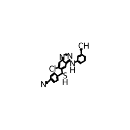 C#Cc1cccc(Nc2ncnc3cc(Cl)c(C(S)c4ccc(C#N)cc4)cc23)c1